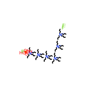 CCCC[N+](CCCC)(CCCC)CCCC.CCCC[N+](CCCC)(CCCC)CCCC.CCCC[N+](CCCC)(CCCC)CCCC.CCCC[N+](CCCC)(CCCC)CCCC.CCCC[N+](CCCC)(CCCC)CCCC.CCCC[N+](CCCC)(CCCC)CCCC.O=P(O)(O)O.[F-].[F-].[F-].[F-].[F-].[F-]